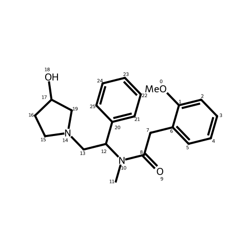 COc1ccccc1CC(=O)N(C)C(CN1CCC(O)C1)c1ccccc1